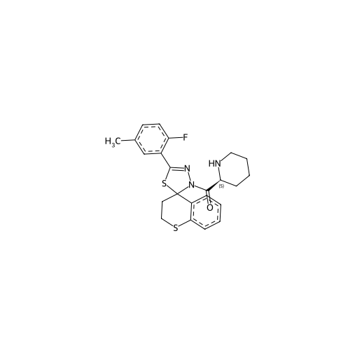 Cc1ccc(F)c(C2=NN(C(=O)[C@@H]3CCCCN3)C3(CCSc4ccccc43)S2)c1